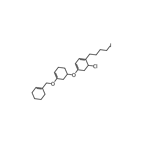 ClC1CC(OC2CCC=C(OCC3=CCCCC3)C2)=CC=C1CCCCI